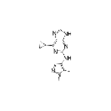 Cc1c(Nc2nc(C3CC3)c3nc[nH]c3n2)cnn1C